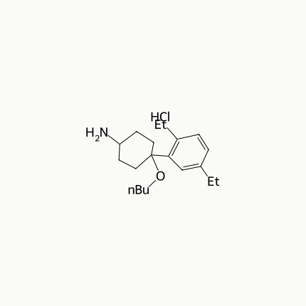 CCCCOC1(c2cc(CC)ccc2CC)CCC(N)CC1.Cl